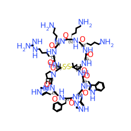 C[C@@H]1NC(=O)[C@H]2NC(=O)[C@H](Cc3c[nH]c4ccccc34)NC(=O)[C@H](Cc3c[nH]cn3)NC(=O)[C@@H](Cc3ccccc3)NC(=O)[C@H](Cc3c[nH]cn3)NC(=O)[C@@H]3CCCN3C(=O)[C@@H](NC(=O)[C@H](CCCCNC(=N)N)NC(=O)[C@H](CCCCN)NC(=O)[C@H](CCCCN)NC(=O)[C@H](CCCCN)NC1=O)SSC2(C)C